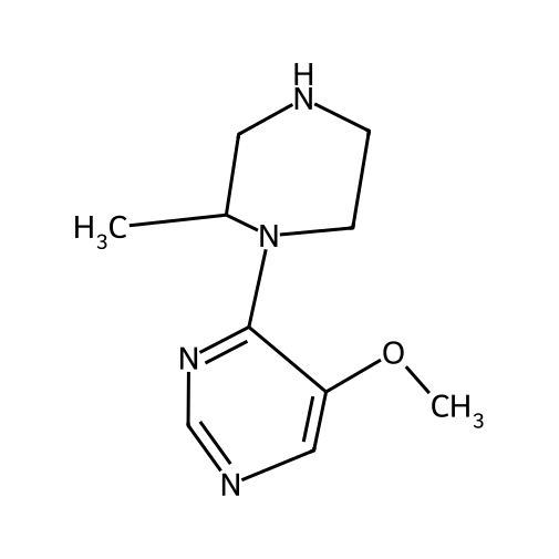 COc1cncnc1N1CCNCC1C